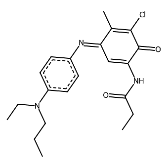 CCCN(CC)c1ccc(N=C2C=C(NC(=O)CC)C(=O)C(Cl)=C2C)cc1